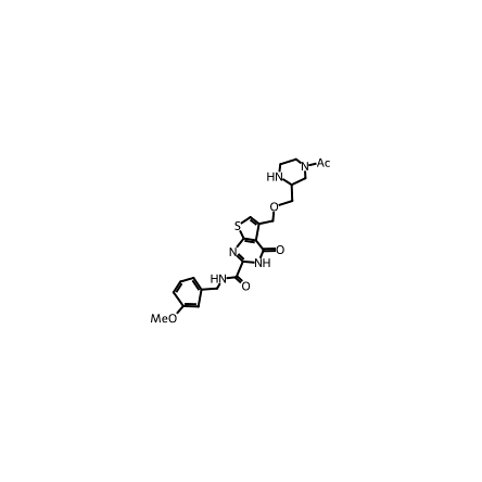 COc1cccc(CNC(=O)c2nc3scc(COCC4CN(C(C)=O)CCN4)c3c(=O)[nH]2)c1